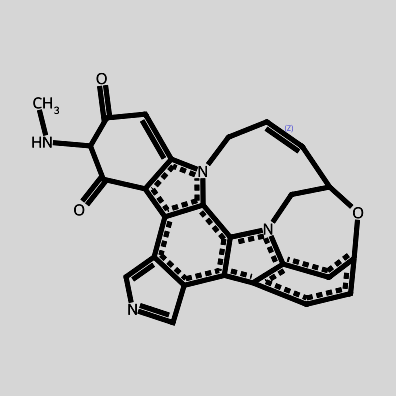 CNC1C(=O)C=c2c(c3c4c(c5c6ccc7cc6n6c5c3n2C/C=C\C(C6)O7)C=NC=4)C1=O